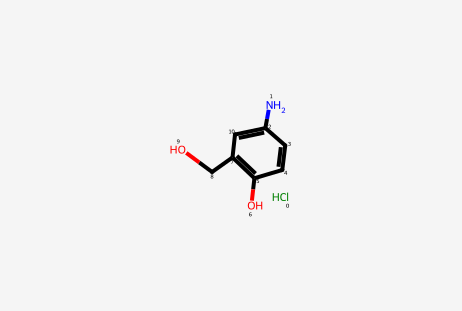 Cl.Nc1ccc(O)c(CO)c1